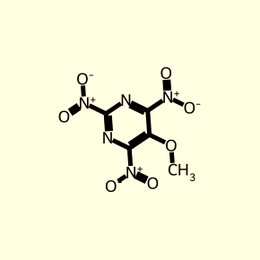 COc1c([N+](=O)[O-])nc([N+](=O)[O-])nc1[N+](=O)[O-]